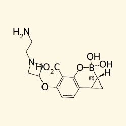 NCCN1CC(Oc2ccc3c(c2C(=O)O)O[B-](O)(O)[C@@H]2CC32)C1